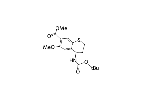 COC(=O)c1cc2c(cc1OC)C(NC(=O)OC(C)(C)C)CCS2